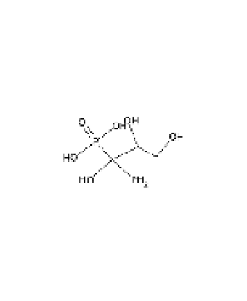 O=P(O)(O)C(O)(P)C(O)CO